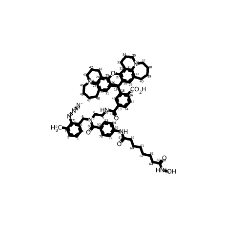 Cc1cccc(CN(CCNC(=O)c2ccc(C(=O)O)c(C3=c4cc5c6c(c4Oc4c3cc3c7c4CCCN7CCCC3)CCC[N+]=6CCCC5)c2)C(=O)c2ccc(NC(=O)CCCCCCC(=O)NO)cc2)c1N=[N+]=[N-]